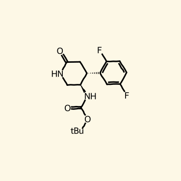 CC(C)(C)OC(=O)N[C@H]1CNC(=O)C[C@@H]1c1cc(F)ccc1F